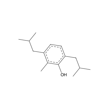 Cc1c(CC(C)C)ccc(CC(C)C)c1O